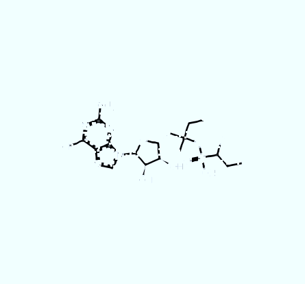 CCC(O)P(=O)(O)OC(C)(CC)C[C@H]1OC(n2cnc3c(Cl)nc(N)nc32)[C@H](O)[C@@H]1O